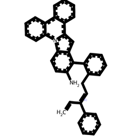 C=C/C(=C\Cc1ccccc1-c1c(N)ccc2c1cc1c3ccccc3c3ccccc3n21)c1ccccc1